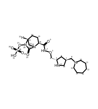 O=C(NOC[C@@H]1C[C@@H](CN2CCCCCC2)CN1)[C@@H]1CC[C@@H]2CN1C(=O)N2OS(=O)(=O)O